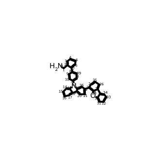 NCc1ccccc1-c1ccc(-n2c3ccccc3c3ccc(-c4cccc5c4oc4ccccc45)cc32)cc1